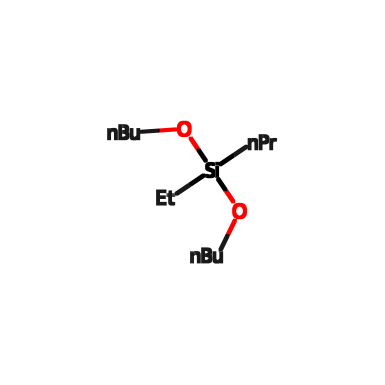 [CH2]CC[Si](CC)(OCCCC)OCCCC